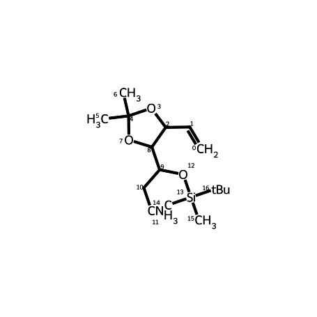 C=CC1OC(C)(C)OC1C(CC#N)O[Si](C)(C)C(C)(C)C